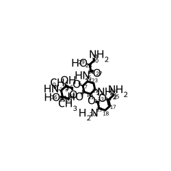 CN[C@@H]1C(O)[C@@H](O[C@@H]2[C@@H](O)[C@H](OC3OC(CN)=CC[C@H]3N)[C@@H](N)C[C@H]2NC(=O)[C@@H](O)CN)OC[C@]1(C)O